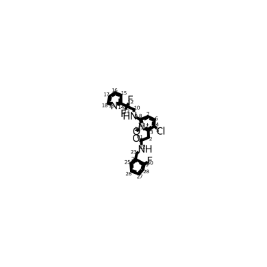 O=C(Cc1c(Cl)ccc(NCC(F)(F)c2ccccn2)[n+]1[O-])NCc1ccccc1F